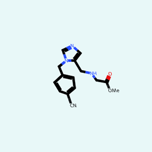 COC(=O)CNCc1cncn1Cc1ccc(C#N)cc1